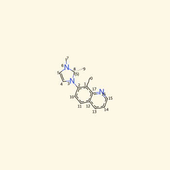 Cc1c(N2C=CN(C)[C@@H]2C)ccc2cccnc12